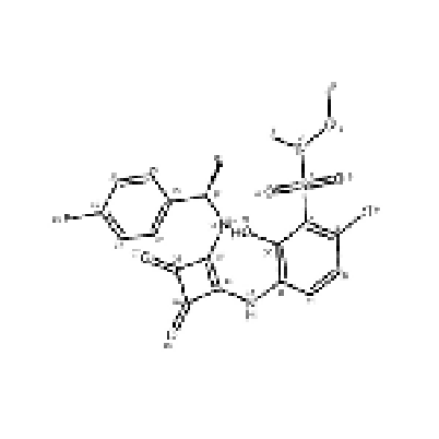 CON(C)S(=O)(=O)c1c(Cl)ccc(Nc2c(N[C@H](C)c3ccc(F)cc3)c(=O)c2=O)c1O